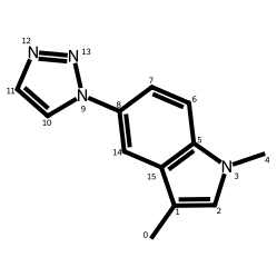 Cc1cn(C)c2ccc(-n3ccnn3)cc12